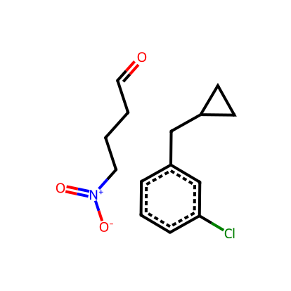 Clc1cccc(CC2CC2)c1.O=CCCC[N+](=O)[O-]